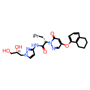 CC(C)C[C@@H](C(=O)Nc1ccn(C[C@@H](O)CO)n1)n1ncc(Oc2cccc3c2CCCC3)cc1=O